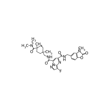 CN(C)C(=O)C1(C)CCC(C)(CNC(=O)c2cc(C(=O)NCc3ccc4oc(=O)n(C)c4c3)nc3c(F)cnn23)CC1